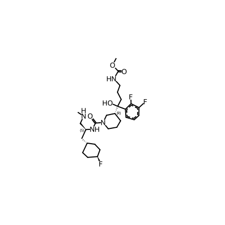 CNC[C@H](C[C@H]1CC[C@H](F)CC1)NC(=O)N1CCC[C@@H](C(O)(CCCNC(=O)OC)c2cccc(F)c2F)C1